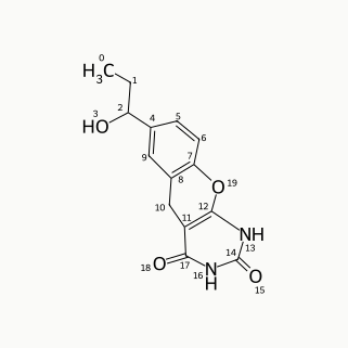 CCC(O)c1ccc2c(c1)Cc1c([nH]c(=O)[nH]c1=O)O2